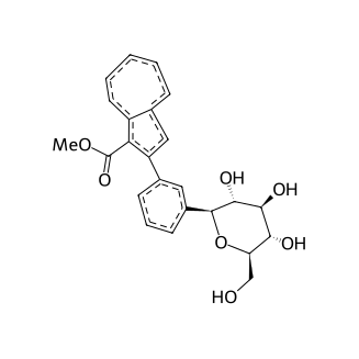 COC(=O)c1c2cccccc-2cc1-c1cccc([C@@H]2O[C@H](CO)[C@@H](O)[C@H](O)[C@H]2O)c1